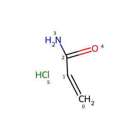 C=CC(N)=O.Cl